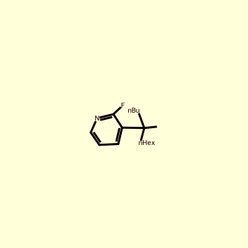 CCCCCCC(C)(CCCC)c1cccnc1F